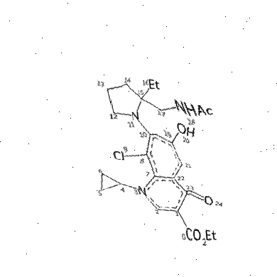 CCOC(=O)c1cn(C2CC2)c2c(Cl)c(N3CCCC3(CC)CNC(C)=O)c(O)cc2c1=O